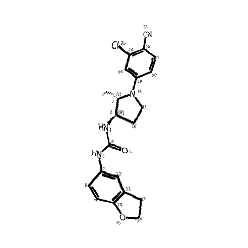 C[C@H]1[C@H](NC(=O)Nc2ccc3c(c2)CCO3)CCN1c1ccc(C#N)c(Cl)c1